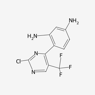 Nc1ccc(-c2nc(Cl)ncc2C(F)(F)F)c(N)c1